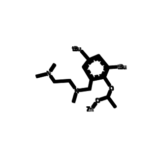 CC([O][Zn])Oc1c(CN(C)CCN(C)C)cc(C(C)(C)C)cc1C(C)(C)C